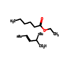 CCCC/C=C/C(CCCC)C(=O)O.CCCCCC(=O)OCC